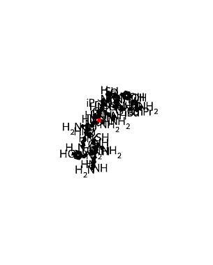 CC[C@H](C)[C@H](NC(=O)[C@@H]1C[C@@H](O)CN1C(=O)[C@@H](N)C(C)C)C(=O)N[C@H](C(=O)N[C@@H](Cc1ccc(O)cc1)C(=O)N[C@H](C(=O)N[C@@H](CC(C)C)C(=O)N[C@@H](CCCNC(=N)N)C(=O)N[C@@H](CCN)C(=O)N[C@H](C(=O)N[C@H](CCN)C(=O)N[C@@H](CCCCN)C(=O)N[C@@H](CS)C(=O)N[C@@H](CCN)C(=O)N[C@@H](CCCNC(=N)N)C(=O)N[C@@H](Cc1ccc(O)cc1)C(=O)O)[C@@H](C)O)C(C)(C)S)[C@@H](C)O